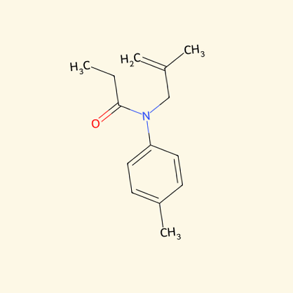 C=C(C)CN(C(=O)CC)c1ccc(C)cc1